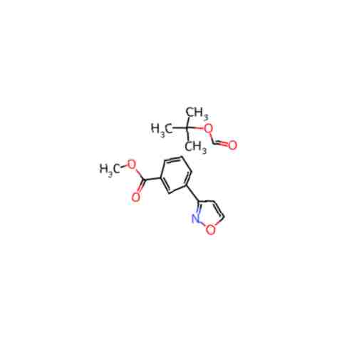 CC(C)(C)OC=O.COC(=O)c1cccc(-c2ccon2)c1